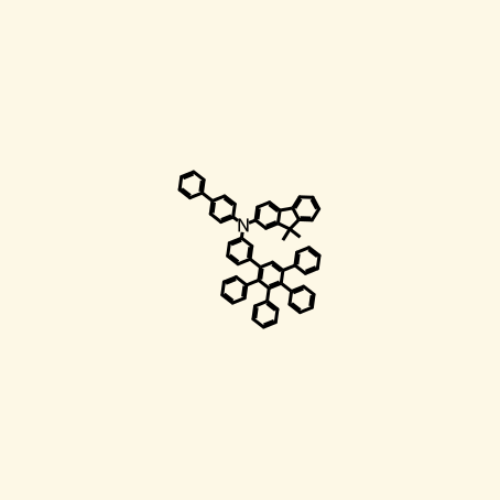 CC1(C)c2ccccc2-c2ccc(N(c3ccc(-c4ccccc4)cc3)c3cccc(-c4cc(-c5ccccc5)c(-c5ccccc5)c(-c5ccccc5)c4-c4ccccc4)c3)cc21